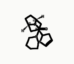 O=C(N1CCCCC1)N1[C@@H]2CC[C@H]1C[C@@H](C1CC=CS1)C2